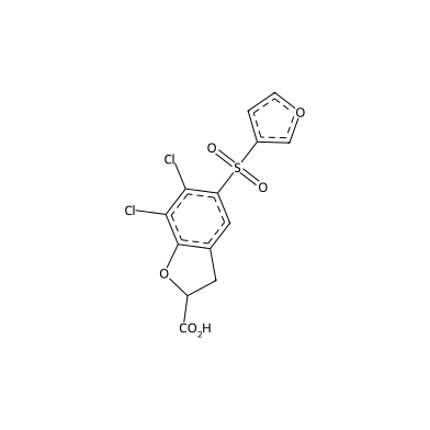 O=C(O)C1Cc2cc(S(=O)(=O)c3ccoc3)c(Cl)c(Cl)c2O1